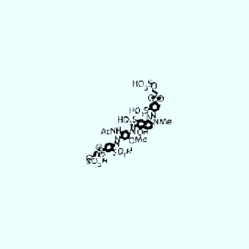 CNc1ccc2c(O)c(/N=N/c3cc(NC(C)=O)c(/N=N/c4ccc(S(=O)(=O)CCOS(=O)(=O)O)cc4S(=O)(=O)O)cc3OC)c(S(=O)(=O)O)cc2c1/N=N/c1ccc(S(=O)(=O)CCOS(=O)(=O)O)cc1S(=O)(=O)O